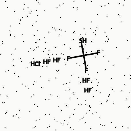 Cl.F.F.F.F.FC(F)(F)S